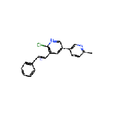 Cc1ccc(-c2cnc(Cl)c(/C=C/c3ccccc3)c2)cn1